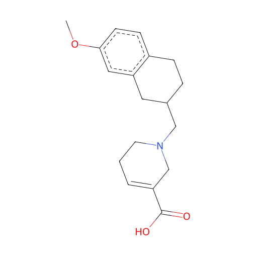 COc1ccc2c(c1)CC(CN1CCC=C(C(=O)O)C1)CC2